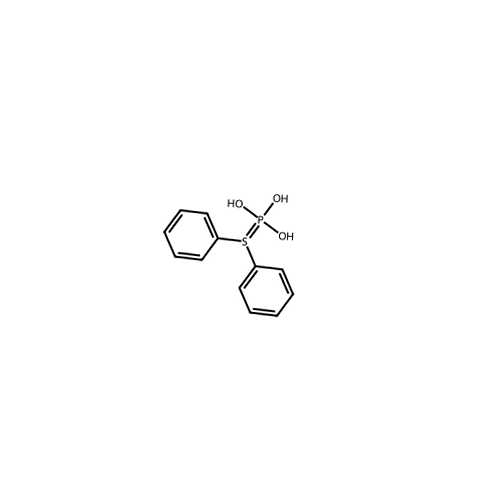 OP(O)(O)=S(c1ccccc1)c1ccccc1